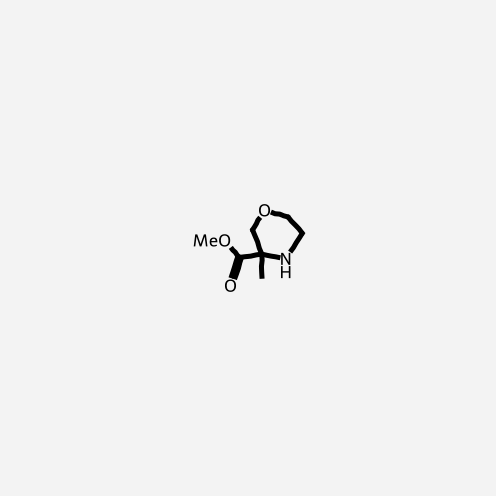 COC(=O)C1(C)COCCN1